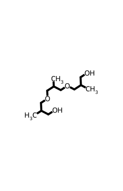 CC(CO)COCC(C)COCC(C)CO